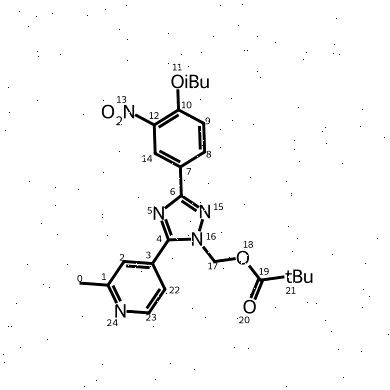 Cc1cc(-c2nc(-c3ccc(OCC(C)C)c([N+](=O)[O-])c3)nn2COC(=O)C(C)(C)C)ccn1